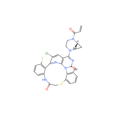 C=CC(=O)N1CCN(c2nc(=O)n3c4nc(c(Cl)cc24)-c2c(F)cccc2NC(=O)CSc2cccc(C(C)C)c2-3)C2C[C@H]21